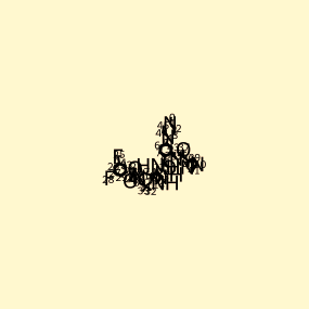 CN1CCN(c2ccc(C(=O)Nc3n[nH]c4c3CN(S(=O)(=O)c3cc(F)cc(F)c3)CC4(C)C)c(NC(=O)c3cnc[nH]3)c2)CC1